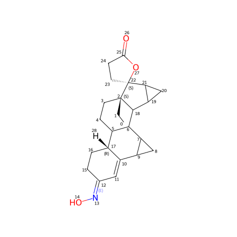 CC[C@]12CCC3C(C4CC4C4=C/C(=N/O)CC[C@@H]43)C1C1CC1[C@@]21CCC(=O)O1